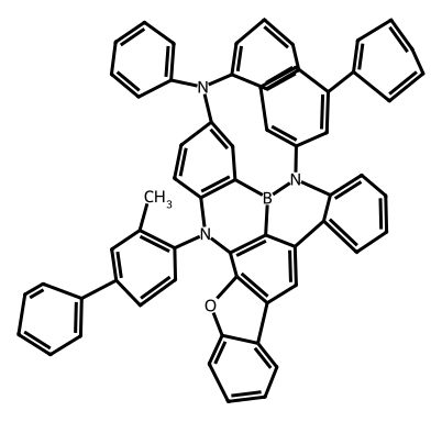 Cc1cc(-c2ccccc2)ccc1N1c2ccc(N(c3ccccc3)c3ccccc3)cc2B2c3c(cc4c(oc5ccccc54)c31)-c1ccccc1N2c1cccc(-c2ccccc2)c1